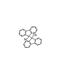 N#CC1(C2(C#N)c3ccccc3-c3ccccc32)c2ccccc2-c2ccccc21